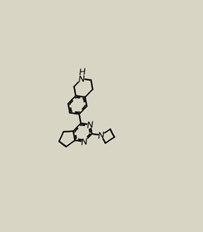 c1cc2c(cc1-c1nc(N3CCC3)nc3c1CCC3)CCNC2